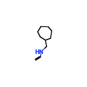 C=CNCC1CCCCCC1